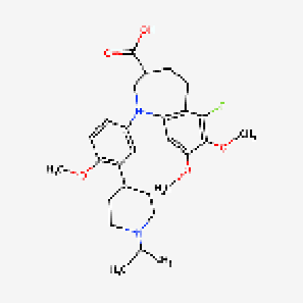 COc1ccc(N2CC(C(=O)O)CCc3c2cc(OC)c(OC)c3F)cc1C1CCN(C(C)C)CC1